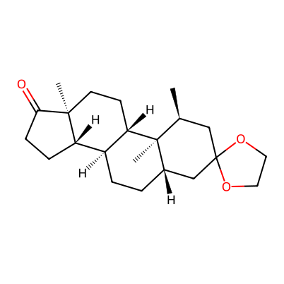 C[C@H]1CC2(C[C@@H]3CC[C@@H]4[C@H](CC[C@]5(C)C(=O)CC[C@@H]45)[C@]31C)OCCO2